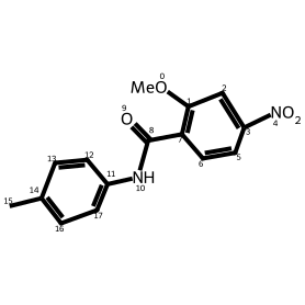 COc1cc([N+](=O)[O-])ccc1C(=O)Nc1ccc(C)cc1